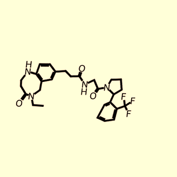 CCN1Cc2cc(CCC(=O)NCC(=O)N3CCCC3c3ccccc3C(F)(F)F)ccc2NCCC1=O